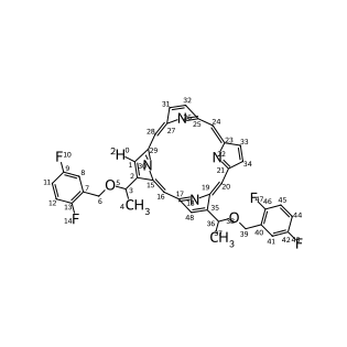 [2H]C1=C(C(C)OCc2cc(F)ccc2F)C2=CC3=NC(=CC4=NC(=CC5=NC(=CC1=N2)C=C5)C=C4)C(C(C)OCc1cc(F)ccc1F)=C3